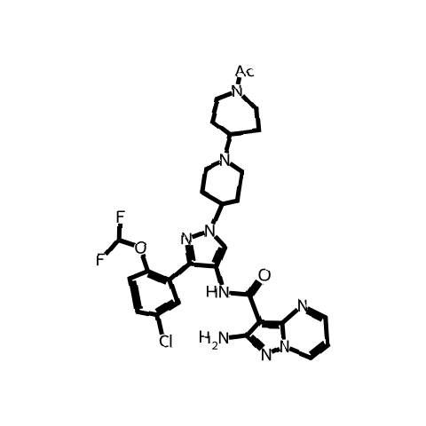 CC(=O)N1CCC(N2CCC(n3cc(NC(=O)c4c(N)nn5cccnc45)c(-c4cc(Cl)ccc4OC(F)F)n3)CC2)CC1